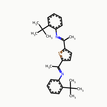 C/C(=N\c1ccccc1C(C)(C)C)c1ccc(/C(C)=N/c2ccccc2C(C)(C)C)s1